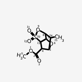 COC(=O)C1C2OC3C(OS(=O)(=O)C31)C2C